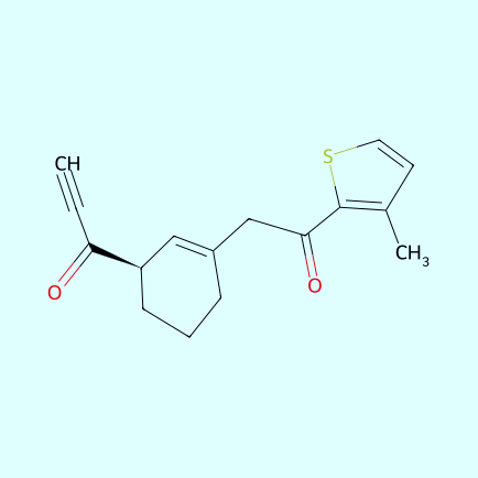 C#CC(=O)[C@H]1C=C(CC(=O)c2sccc2C)CCC1